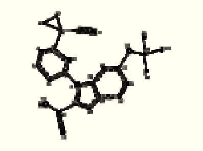 N#CC1(c2cccc(-n3c(C(=O)O)cc4ccc(OC(F)(F)F)cc43)n2)CC1